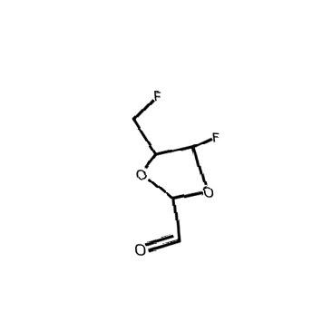 O=CC1OC(F)C(CF)O1